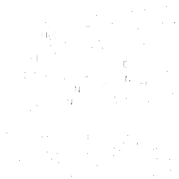 CCN(CC)C(=O)Oc1c2c(ccc3cc(Cl)ccc32)nn1-c1ccc(C)c(Cl)c1